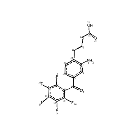 Nc1cc(C(=O)c2c(F)c(F)c(F)c(F)c2F)ccc1CCCC(=O)O